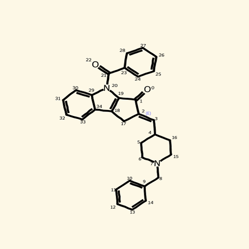 O=C1/C(=C/C2CCN(Cc3ccccc3)CC2)Cc2c1n(C(=O)c1ccccc1)c1ccccc21